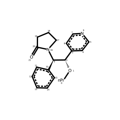 CCCO[C@@H](c1ccncc1)[C@@H](c1ccccc1)N1CCCC1=O